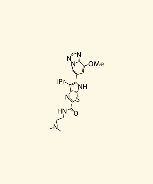 COc1cc(-c2[nH]c3sc(C(=O)NCCN(C)C)nc3c2C(C)C)cn2ncnc12